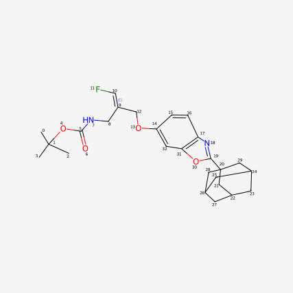 CC(C)(C)OC(=O)NC/C(=C\F)COc1ccc2nc(C34CC5CC(CC(C5)C3)C4)oc2c1